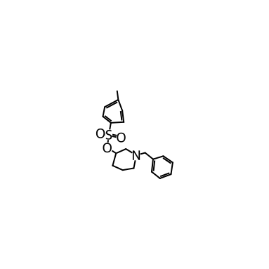 Cc1ccc(S(=O)(=O)OC2CCCN(Cc3ccccc3)C2)cc1